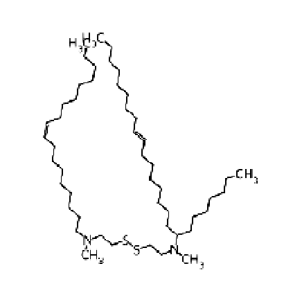 CCCCCCCCC=CCCCCCCCC(CCCCCCC)N(C)CCSSCCN(C)CCCCCCCC/C=C\CCCCCCCC